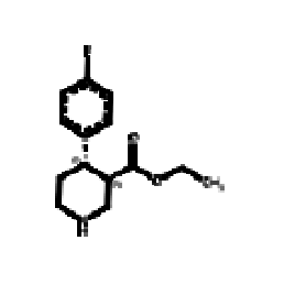 CCOC(=O)[C@H]1CNCC[C@@H]1c1ccc(F)cc1